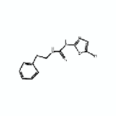 S=C(NCCc1ccccc1)Nc1ncc(Cl)s1